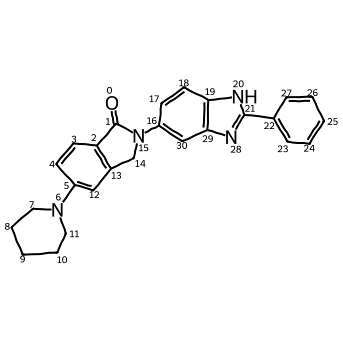 O=C1c2ccc(N3CCCCC3)cc2CN1c1ccc2[nH]c(-c3ccccc3)nc2c1